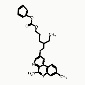 CCC(CCCOC(=O)Oc1ccccc1)CCc1cnc2c(N)nc3cc(C)ccc3c2c1